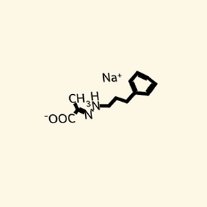 CC(=NNCCCc1ccccc1)C(=O)[O-].[Na+]